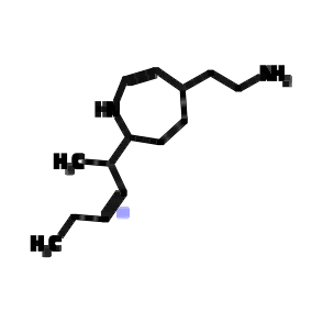 CC/C=C\C(C)C1CCC(CCN)C=CN1